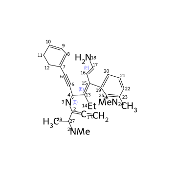 C=C=C(\N=C(C#CC1=CC=CCC1)/C(CC)=C(\C=C\N)c1cccc(C)c1NC)C(C)NC